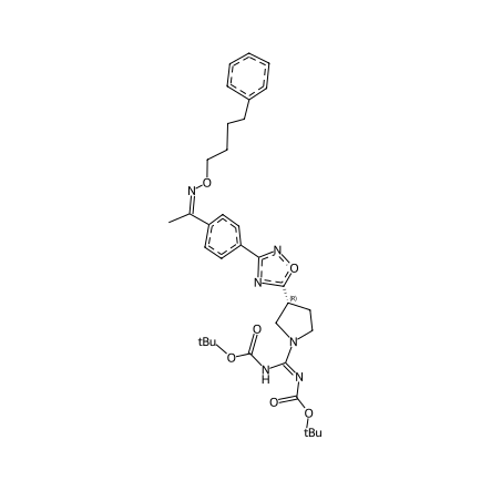 CC(=NOCCCCc1ccccc1)c1ccc(-c2noc([C@@H]3CCN(C(=NC(=O)OC(C)(C)C)NC(=O)OC(C)(C)C)C3)n2)cc1